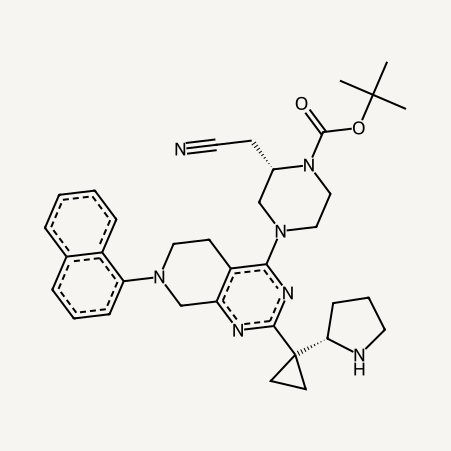 CC(C)(C)OC(=O)N1CCN(c2nc(C3([C@@H]4CCCN4)CC3)nc3c2CCN(c2cccc4ccccc24)C3)C[C@@H]1CC#N